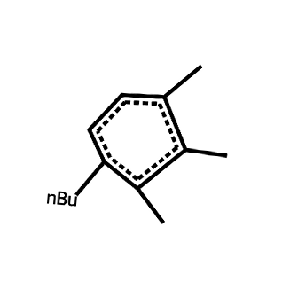 CCCCc1ccc(C)c(C)c1C